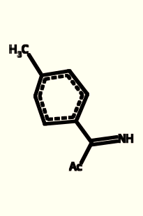 CC(=O)C(=N)c1ccc(C)cc1